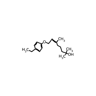 CCc1ccc(OCC=C(C)CCCC(C)(C)O)cc1